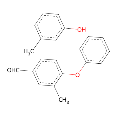 Cc1cc(C=O)ccc1Oc1ccccc1.Cc1cccc(O)c1